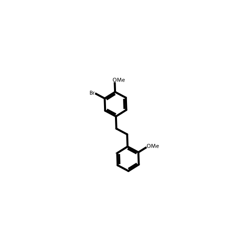 COc1ccc[c]c1CCc1ccc(OC)c(Br)c1